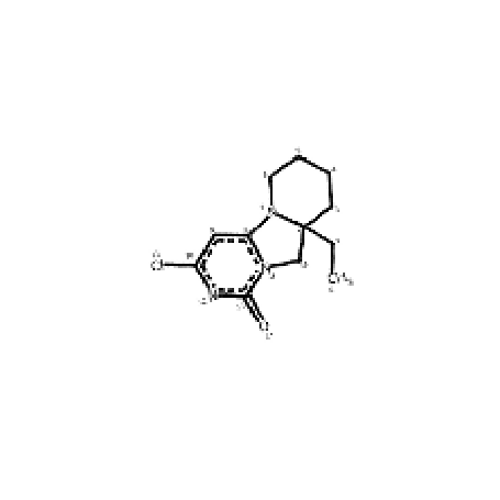 CCC12CCCCN1c1cc(Cl)nc(=O)n1C2